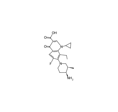 CCc1c(N2CC[C@H](N)[C@H](C)C2)c(F)cc2c(=O)c(C(=O)O)cn(C3CC3)c12